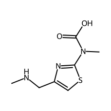 CNCc1csc(N(C)C(=O)O)n1